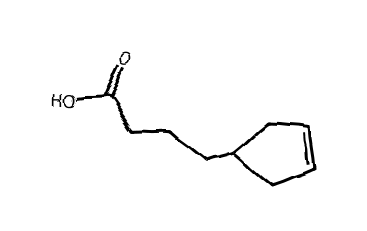 O=C(O)CCCC1CC=CC1